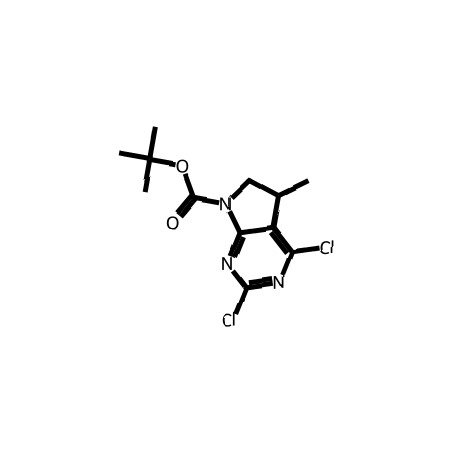 CC1CN(C(=O)OC(C)(C)C)c2nc(Cl)nc(Cl)c21